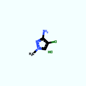 Cl.Cn1cc(Cl)c(N)n1